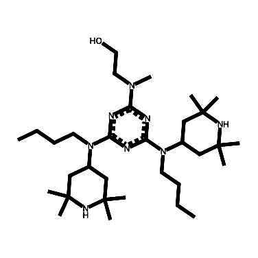 CCCCN(c1nc(N(C)CCO)nc(N(CCCC)C2CC(C)(C)NC(C)(C)C2)n1)C1CC(C)(C)NC(C)(C)C1